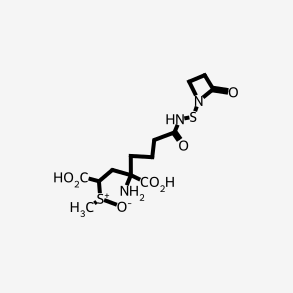 C[S+]([O-])C(CC(N)(CCCC(=O)NSN1CCC1=O)C(=O)O)C(=O)O